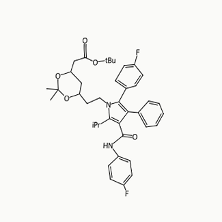 CC(C)c1c(C(=O)Nc2ccc(F)cc2)c(-c2ccccc2)c(-c2ccc(F)cc2)n1CCC1CC(CC(=O)OC(C)(C)C)OC(C)(C)O1